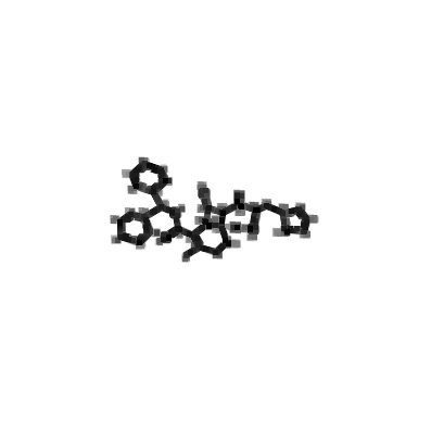 CC1=C(C(=O)OC(c2ccccc2)c2ccccc2)N2C(=O)C(NC(=O)Cc3cccs3)[C@H]2SC1